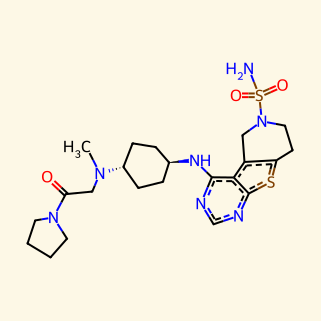 CN(CC(=O)N1CCCC1)[C@H]1CC[C@H](Nc2ncnc3sc4c(c23)CN(S(N)(=O)=O)CC4)CC1